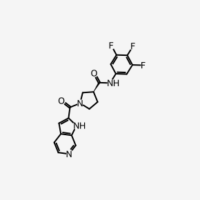 O=C(Nc1cc(F)c(F)c(F)c1)[C@H]1CCN(C(=O)c2cc3ccncc3[nH]2)C1